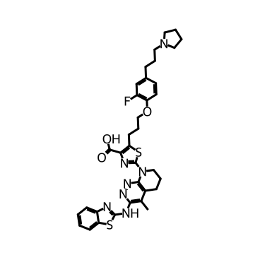 Cc1c(Nc2nc3ccccc3s2)nnc2c1CCCN2c1nc(C(=O)O)c(CCCOc2ccc(CCCN3CCCC3)cc2F)s1